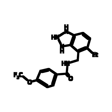 CCc1ccc2c(c1CNC(=O)c1ccc(OC(F)(F)F)cc1)NNN2